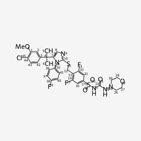 COc1cc(C(C)(C)c2cnc(SCc3c(F)cc(S(=O)(=O)NC(=O)NN4CCOCC4)cc3F)n2-c2ccc(F)cc2)ccc1Cl